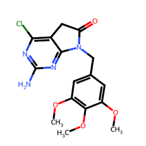 COc1cc(CN2C(=O)Cc3c(Cl)nc(N)nc32)cc(OC)c1OC